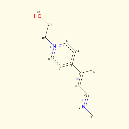 C/N=C/C=C(\C)c1cc[n+](CCO)cc1